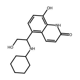 O=c1ccc2c(C(CO)NC3CCCCC3)ccc(O)c2[nH]1